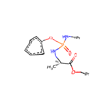 CCCNP(=O)(N[C@@H](C)C(=O)OC(C)C)Oc1ccccc1